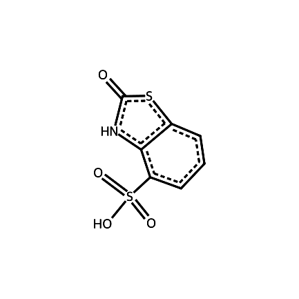 O=c1[nH]c2c(S(=O)(=O)O)cccc2s1